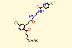 CC(=O)NCCCC(=O)c1ccc(Cl)cc1CCC(=O)NCCNC(=O)c1ccc(Cl)cn1